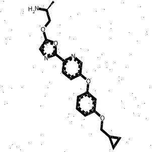 C[C@H](N)COc1cnc(-c2ccc(Oc3cccc(OCC4CC4)c3)cn2)o1